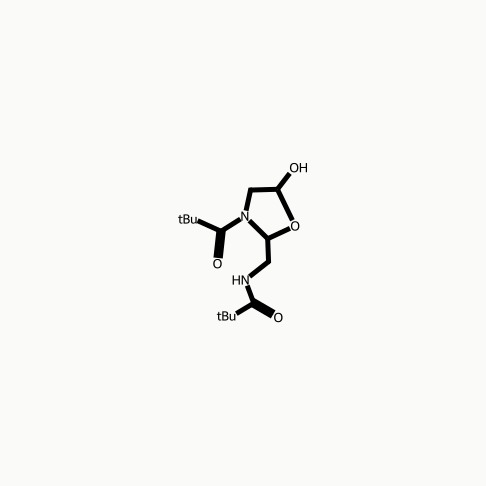 CC(C)(C)C(=O)NCC1OC(O)CN1C(=O)C(C)(C)C